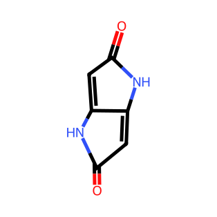 O=C1C=C2NC(=O)C=C2N1